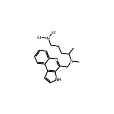 CCN(CC)CCCC(C)N(C)Cc1nc2ccccc2c2cc[nH]c12